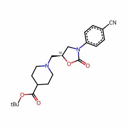 CC(C)(C)OC(=O)C1CCN(C[C@H]2CN(c3ccc(C#N)cc3)C(=O)O2)CC1